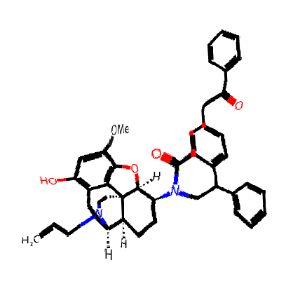 C=CCN1CC[C@]23c4c5c(O)cc(OC)c4O[C@H]2[C@@H](N(CC(c2ccccc2)c2ccccc2)C(=O)CCCCC(=O)c2ccccc2)CC[C@H]3[C@H]1C5